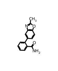 Cc1nc2cc(-c3ccccc3C(N)=O)ccc2o1